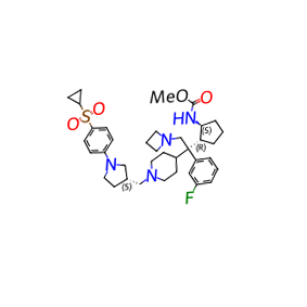 COC(=O)N[C@H]1CCC[C@@H]1C(CN1CCC1)(c1cccc(F)c1)C1CCN(C[C@@H]2CCN(c3ccc(S(=O)(=O)C4CC4)cc3)C2)CC1